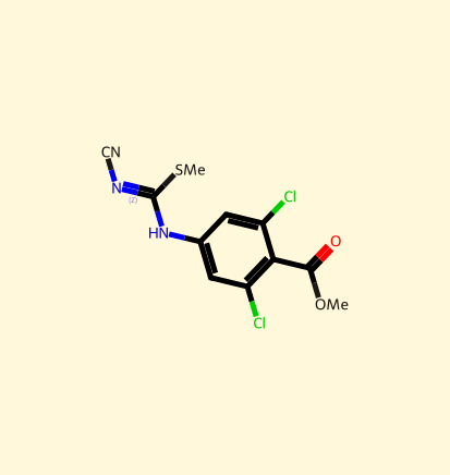 COC(=O)c1c(Cl)cc(N/C(=N/C#N)SC)cc1Cl